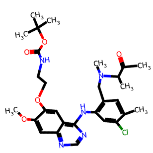 COc1cc2ncnc(Nc3cc(Cl)c(C)cc3CN(C)C(C)C(C)=O)c2cc1OCCNC(=O)OC(C)(C)C